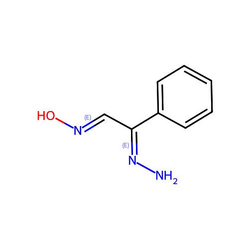 N/N=C(/C=N/O)c1ccccc1